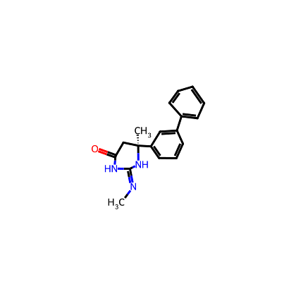 C/N=C1\NC(=O)C[C@@](C)(c2cccc(-c3ccccc3)c2)N1